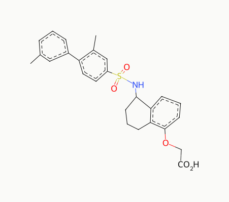 Cc1cccc(-c2ccc(S(=O)(=O)NC3CCCc4c(OCC(=O)O)cccc43)cc2C)c1